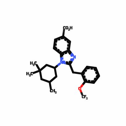 CC1CC(n2c(Cc3ccccc3OC(F)(F)F)nc3cc(C(=O)O)ccc32)CC(C)(C)C1